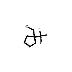 [O]CC1(C(F)(F)F)CCCC1